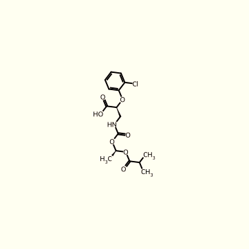 CC(C)C(=O)O[C@@H](C)OC(=O)NC[C@H](Oc1ccccc1Cl)C(=O)O